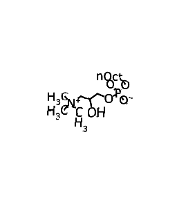 CCCCCCCCOP(=O)([O-])OCC(O)C[N+](C)(C)C